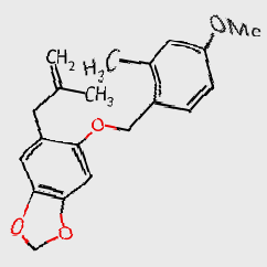 C=C(C)Cc1cc2c(cc1OCc1ccc(OC)cc1C)OCO2